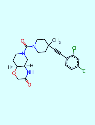 CC1(C#Cc2ccc(Cl)cc2Cl)CCN(C(=O)N2CC[C@@H]3OCC(=O)N[C@@H]3C2)CC1